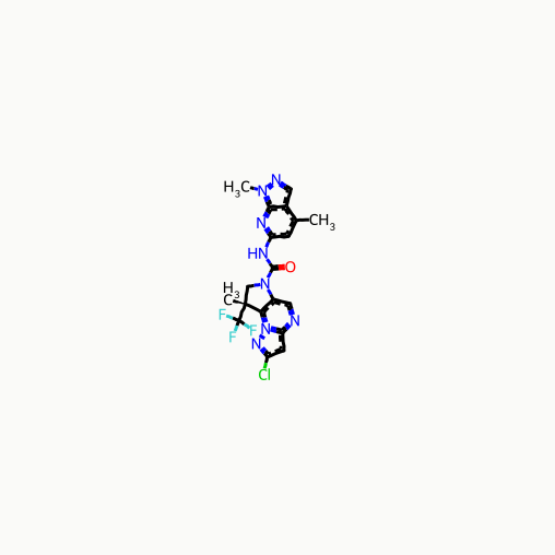 Cc1cc(NC(=O)N2C[C@@](C)(C(F)(F)F)c3c2cnc2cc(Cl)nn32)nc2c1cnn2C